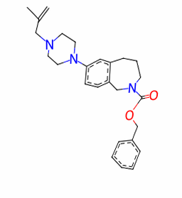 C=C(C)CN1CCN(c2ccc3c(c2)CCCN(C(=O)OCc2ccccc2)C3)CC1